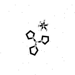 C1CCN([P+](N2CCCC2)N2CCCC2)C1.F[P-](F)(F)(F)(F)F